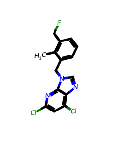 Cc1c(CF)cccc1Cn1cnc2c(Cl)cc(Cl)nc21